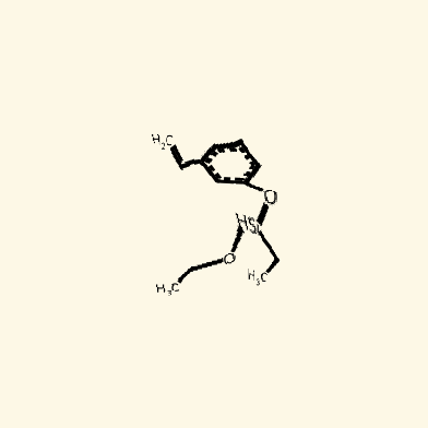 C=Cc1cccc(O[SiH](CC)COCC)c1